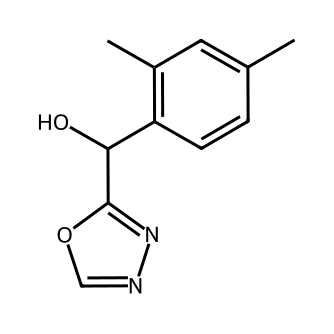 Cc1ccc(C(O)c2nnco2)c(C)c1